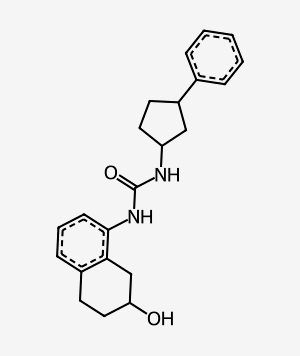 O=C(Nc1cccc2c1CC(O)CC2)NC1CCC(c2ccccc2)C1